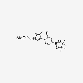 COCCn1cc(-c2ccc(B3OC(C)(C)C(C)(C)O3)cc2F)c(C)n1